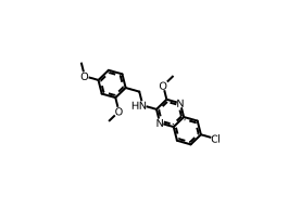 COc1ccc(CNc2nc3ccc(Cl)cc3nc2OC)c(OC)c1